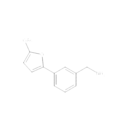 CC(=O)Oc1ccc(-c2cccc(CN)c2)o1